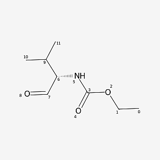 CCOC(=O)N[C@H](C=O)C(C)C